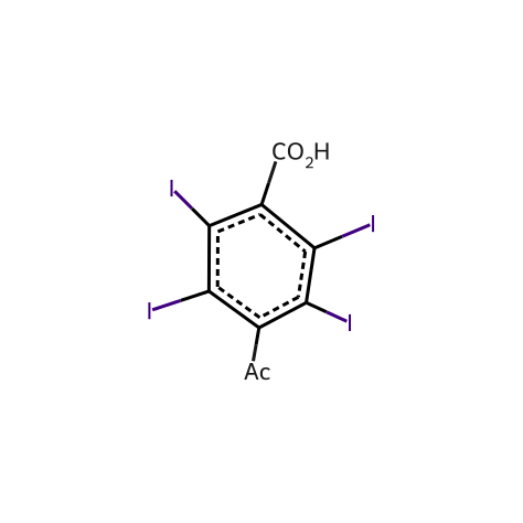 CC(=O)c1c(I)c(I)c(C(=O)O)c(I)c1I